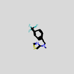 CN(Cc1ccc(C(F)(F)F)cc1)c1cs[c]n1